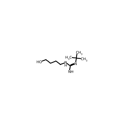 CC(C)(C)N=C([NH])NCCCCO